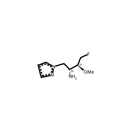 CO[C@H](CF)[C@H](N)Cn1cccn1